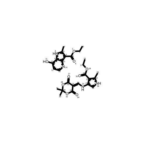 CCOC(=O)c1c(C)[nH]c2c(O)ccnc12.CCOC(=O)c1c(NC=C2C(=O)OC(C)(C)OC2=O)c[nH]c1C